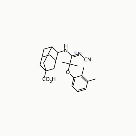 Cc1cccc(OC(C)(C)/C(=N\C#N)NC2C3CC4CC2CC(C(=O)O)(C4)C3)c1C